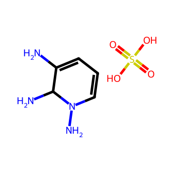 NC1=CC=CN(N)C1N.O=S(=O)(O)O